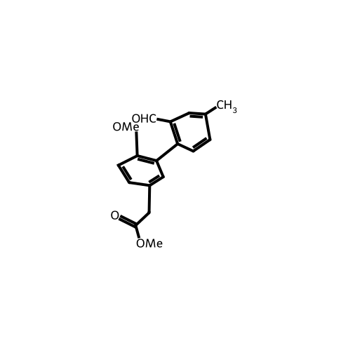 COC(=O)Cc1ccc(OC)c(-c2ccc(C)cc2C=O)c1